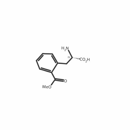 COC(=O)c1ccccc1C[C@H](N)C(=O)O